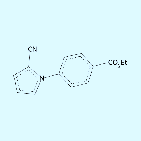 CCOC(=O)c1ccc(-n2cccc2C#N)cc1